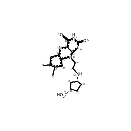 Cc1cc2nc3c(=O)[nH]c(=O)nc-3n(CCN[C@@H]3CC[C@H](C(=O)O)C3)c2cc1C